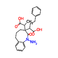 CC(C(=O)O)C1(C(CCc2ccccc2)C(=O)O)CCCc2ccccc2N(N)C1=O